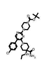 CCNC1(C(N)=O)CCN(c2nc(N3CCN(C(=O)OC(C)(C)C)CC3)ncc2-c2ccc(Cl)cc2)CC1